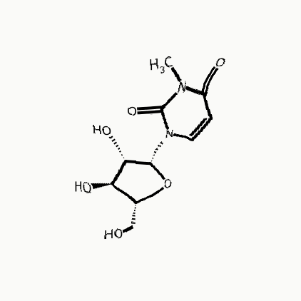 Cn1c(=O)ccn([C@@H]2O[C@H](CO)[C@@H](O)[C@@H]2O)c1=O